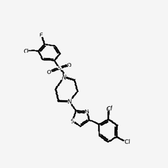 O=S(=O)(c1ccc(F)c(Cl)c1)N1CCN(c2nc(-c3ccc(Cl)cc3Cl)cs2)CC1